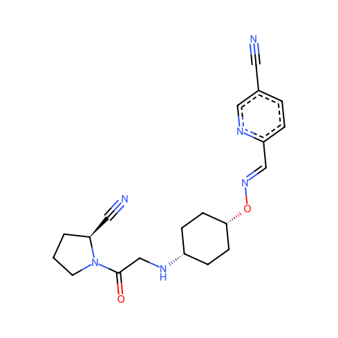 N#Cc1ccc(C=NO[C@H]2CC[C@@H](NCC(=O)N3CCC[C@H]3C#N)CC2)nc1